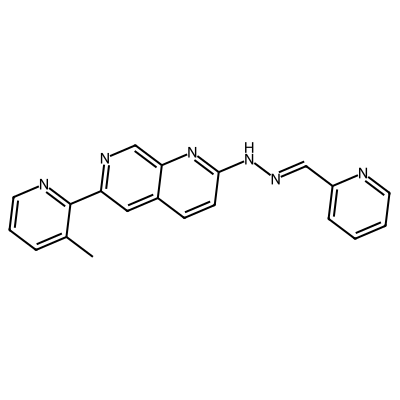 Cc1cccnc1-c1cc2ccc(N/N=C/c3ccccn3)nc2cn1